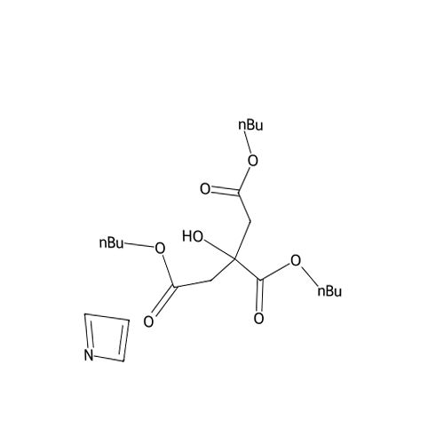 C1=CN=C1.CCCCOC(=O)CC(O)(CC(=O)OCCCC)C(=O)OCCCC